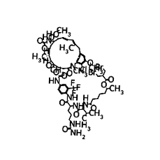 COc1cc2cc(c1Cl)N(C)C(=O)C[C@H](OC(=O)Nc1ccc(NC(=O)[C@H](CCCNC(N)=O)NC(=O)[C@@H](NC(=O)CCCCC(C)OC(=O)C(CBr)CBr)C(C)C)c(C(F)(F)F)c1)[C@]1(C)O[C@H]1[C@H](C)[C@@H]1C[C@@](O)(NC(=O)O1)[C@H](OC)/C=C/C=C(\C)C2